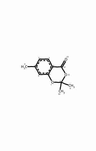 Cc1ccc2c(c1)OC(C)(C)OC2=O